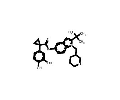 CC(C)(C)c1cc2cc(NC(=O)C3(c4ccc(O)c(O)c4)CC3)ccc2n1CC1CCCOC1